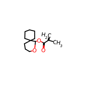 C=C(C)C(=O)OC1OCCCC12CCCCC2